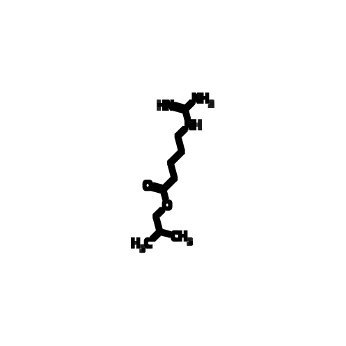 CC(C)COC(=O)CCCCNC(=N)N